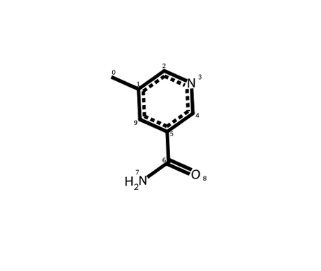 Cc1cncc(C(N)=O)c1